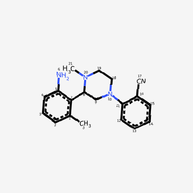 Cc1cccc(N)c1C1CN(c2ccccc2C#N)CCN1C